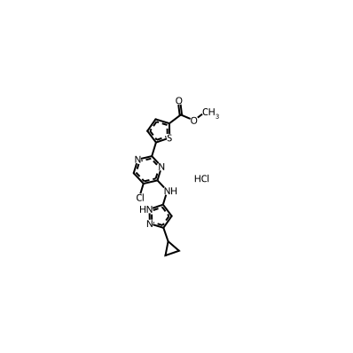 COC(=O)c1ccc(-c2ncc(Cl)c(Nc3cc(C4CC4)n[nH]3)n2)s1.Cl